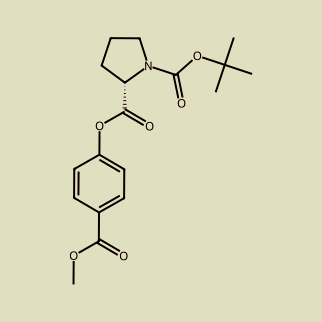 COC(=O)c1ccc(OC(=O)[C@@H]2CCCN2C(=O)OC(C)(C)C)cc1